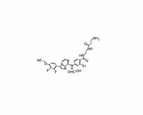 CCc1cc(Nc2nccn3c(-c4ccc(OCC#N)c(F)c4F)cnc23)ccc1C(=O)NCCNC(=O)CCN.O=CO